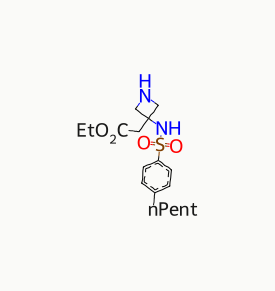 CCCCCc1ccc(S(=O)(=O)NC2(CC(=O)OCC)CNC2)cc1